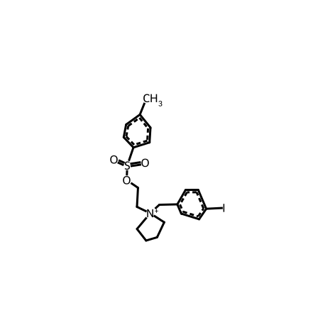 Cc1ccc(S(=O)(=O)OCC[N+]2(Cc3ccc(I)cc3)CCCC2)cc1